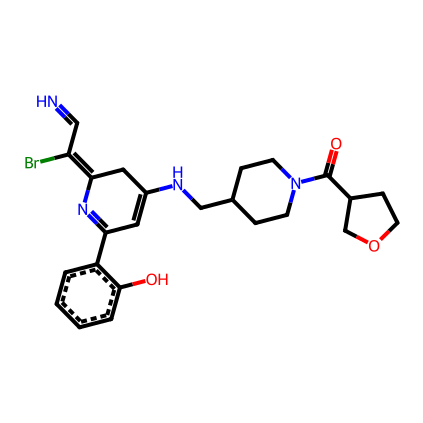 N=C/C(Br)=C1\CC(NCC2CCN(C(=O)C3CCOC3)CC2)=CC(c2ccccc2O)=N1